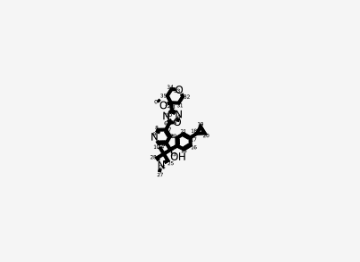 COC1(c2noc(-c3cncc([C@@](O)(c4ccc(C5CC5)cc4)C4(C)CN(C)C4)c3)n2)CCOCC1